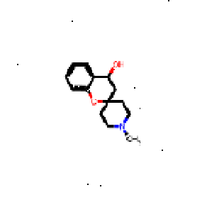 CN1CCC2(CC1)CC(O)c1ccccc1O2